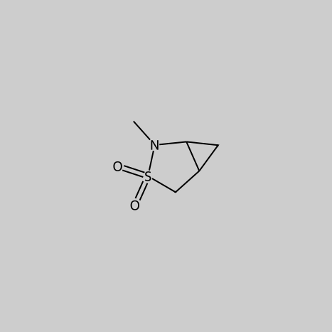 CN1C2CC2CS1(=O)=O